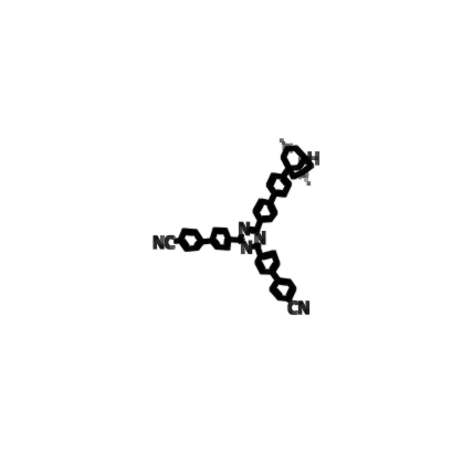 C[C@@H]1C[C@@H]2C[C@H](C)CC(c3ccc(-c4ccc(-c5nc(-c6ccc(-c7ccc(C#N)cc7)cc6)nc(-c6ccc(-c7ccc(C#N)cc7)cc6)n5)cc4)cc3)(C1)C2